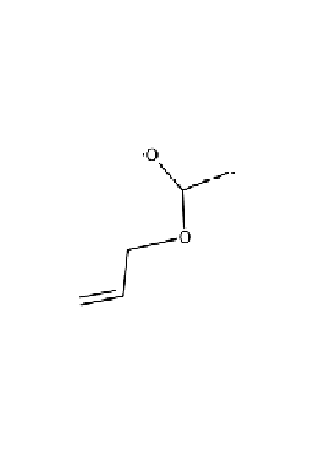 [CH2]C([O])OCC=C